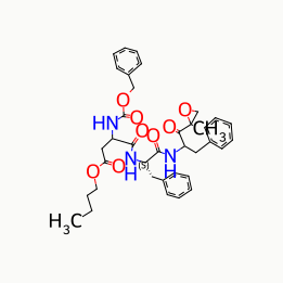 CCCCOC(=O)CC(NC(=O)OCc1ccccc1)C(=O)N[C@@H](Cc1ccccc1)C(=O)NC(Cc1ccccc1)C(=O)C1(C)CO1